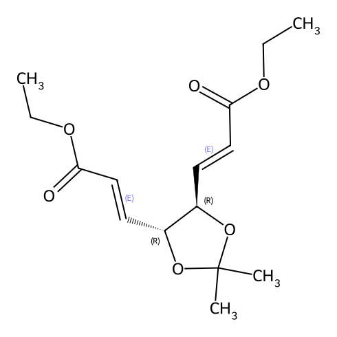 CCOC(=O)/C=C/[C@H]1OC(C)(C)O[C@@H]1/C=C/C(=O)OCC